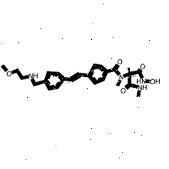 CNC(=O)[C@@](C)(C(=O)NO)N(C)C(=O)c1ccc(C#Cc2ccc(CNCCOC)cc2)cc1